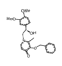 COc1ccc([C@@H](O)Cn2ccc(=O)c(OCc3ccccc3)c2C)cc1OC